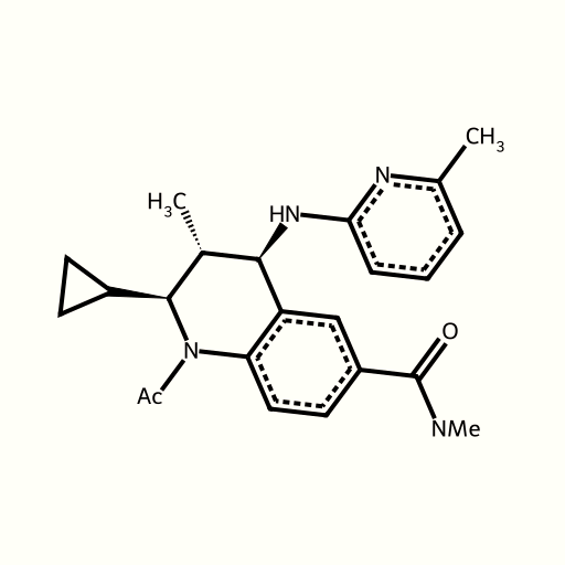 CNC(=O)c1ccc2c(c1)[C@H](Nc1cccc(C)n1)[C@@H](C)[C@H](C1CC1)N2C(C)=O